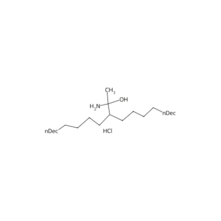 CCCCCCCCCCCCCCC(CCCCCCCCCCCCCC)C(C)(N)O.Cl